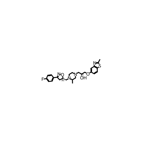 Cc1nc2cc(OC[C@H](O)CN3CCN(C[C@H]4CC(c5ccc(F)cc5)=NO4)C(C)C3)ccc2s1